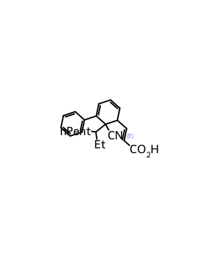 CCCCCC(CC)C1(C#N)C(c2ccccc2)=CC=CC1/C=C/C(=O)O